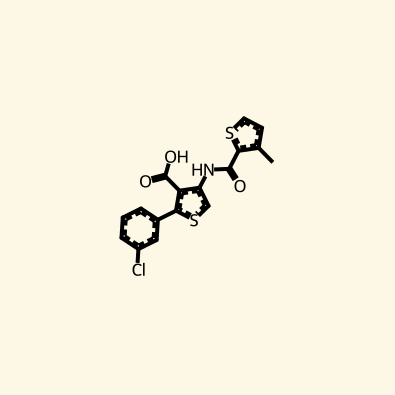 Cc1ccsc1C(=O)Nc1csc(-c2cccc(Cl)c2)c1C(=O)O